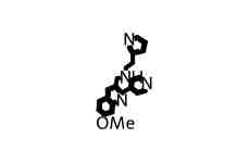 COc1ccc2cc(CNCCc3cccnc3)c(-c3ccncc3)nc2c1